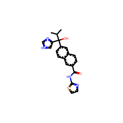 CC(C)C(O)(c1ccc2cc(C(=O)Nc3nccs3)ccc2c1)c1c[nH]cn1